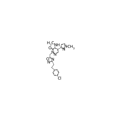 CNc1c(-c2ccn(C)n2)cnn(Cc2nc(CCc3ccc(Cl)cc3)no2)c1=O